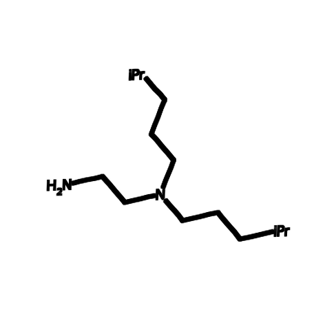 CC(C)CCCN(CCN)CCCC(C)C